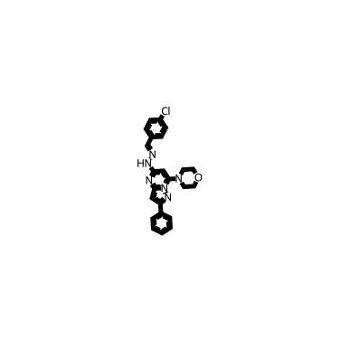 Clc1ccc(/C=N/Nc2cc(N3CCOCC3)n3nc(-c4ccccc4)cc3n2)cc1